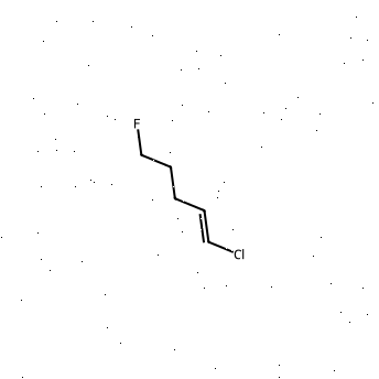 FCCCC=CCl